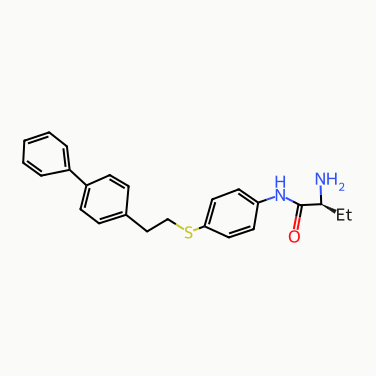 CC[C@H](N)C(=O)Nc1ccc(SCCc2ccc(-c3ccccc3)cc2)cc1